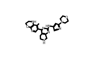 Cc1c(-c2nc(Nc3ccnc(N4CCOCC4)c3)nc3c2CCNC3)cnc2c1NCCO2